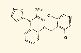 COC(=O)N(c1ccno1)c1ccccc1OCc1c(Cl)cncc1Cl